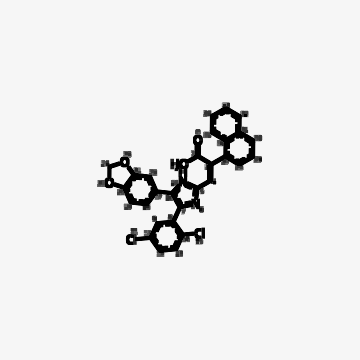 O=C(O)C(=Cc1nc(-c2cc(Cl)ccc2Cl)c(-c2ccc3c(c2)OCO3)[nH]1)c1cccc2ccccc12